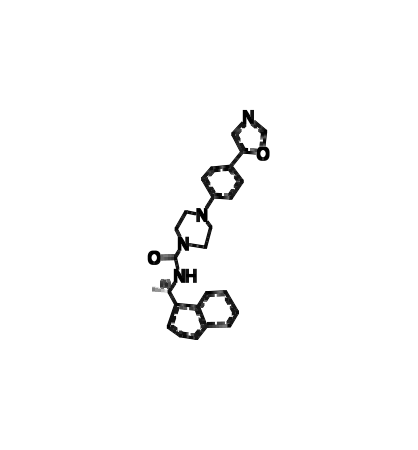 C[C@H](NC(=O)N1CCN(c2ccc(-c3cnco3)cc2)CC1)c1cccc2ccccc12